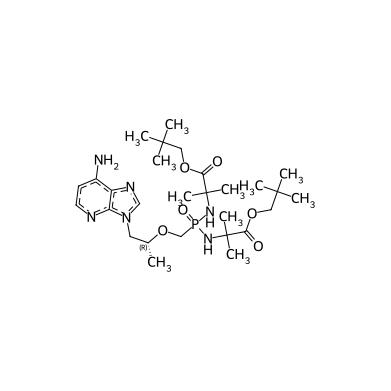 C[C@H](Cn1cnc2c(N)ccnc21)OCP(=O)(NC(C)(C)C(=O)OCC(C)(C)C)NC(C)(C)C(=O)OCC(C)(C)C